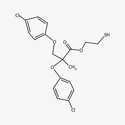 CC(COc1ccc(Cl)cc1)(Oc1ccc(Cl)cc1)C(=O)OCCS